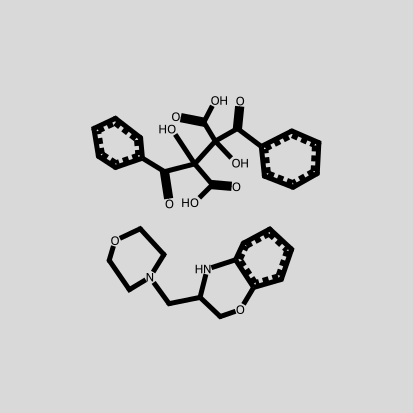 O=C(O)C(O)(C(=O)c1ccccc1)C(O)(C(=O)O)C(=O)c1ccccc1.c1ccc2c(c1)NC(CN1CCOCC1)CO2